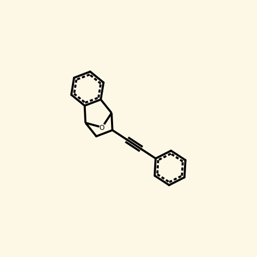 C(#CC1CC2OC1c1ccccc12)c1ccccc1